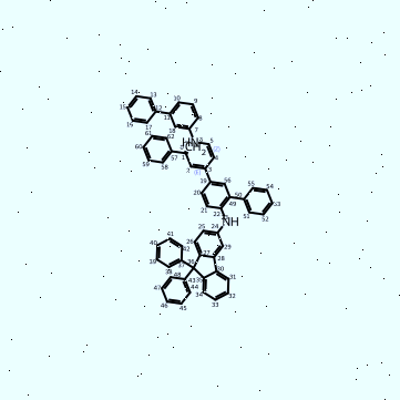 C=C(/C=C(\C=C/Nc1cccc(-c2ccccc2)c1)c1ccc(Nc2ccc3c(c2)-c2ccccc2C3(c2ccccc2)c2ccccc2)c(-c2ccccc2)c1)c1ccccc1